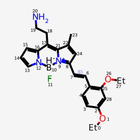 CCOc1ccc(/C=C/C2=[N+]3[BH-](F)n4cccc4C(CCN)=C3C(C)=C2)c(OCC)c1